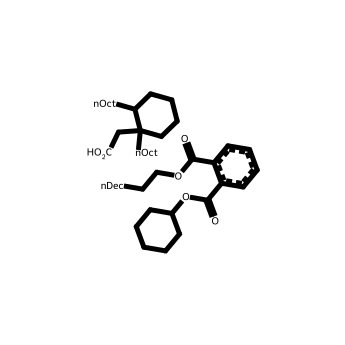 CCCCCCCCC1CCCCC1(CCCCCCCC)CC(=O)O.CCCCCCCCCCCCOC(=O)c1ccccc1C(=O)OC1CCCCC1